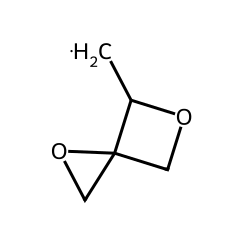 [CH2]C1OCC12CO2